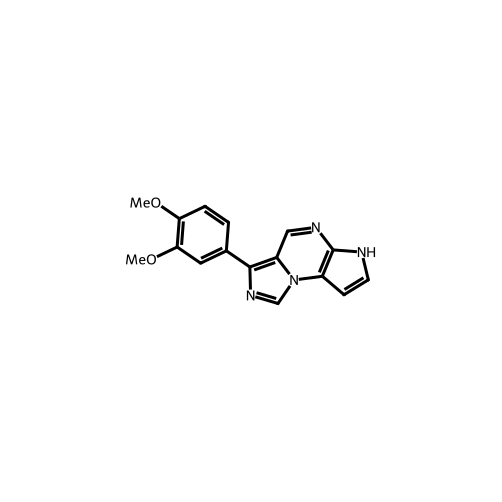 COc1ccc(-c2ncn3c2cnc2[nH]ccc23)cc1OC